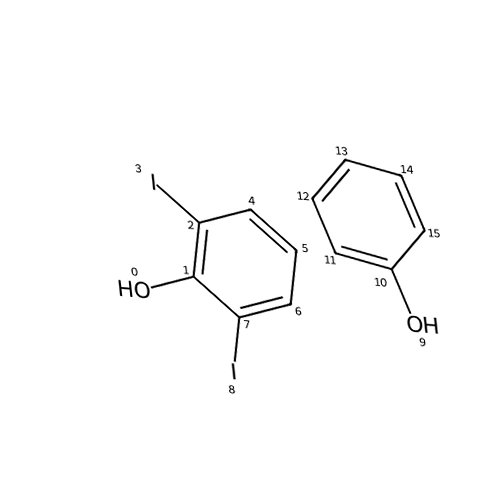 Oc1c(I)cccc1I.Oc1ccccc1